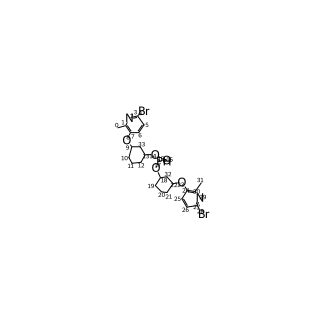 Cc1nc(Br)ccc1OC1CCCC(O[PH](=O)OC2CCCC(Oc3ccc(Br)nc3C)C2)C1